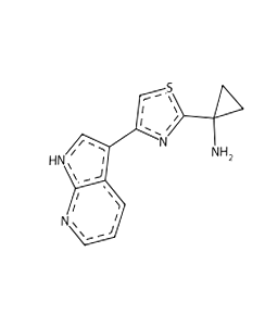 NC1(c2nc(-c3c[nH]c4ncccc34)cs2)CC1